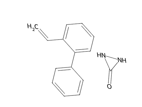 C=Cc1ccccc1-c1ccccc1.O=C1NN1